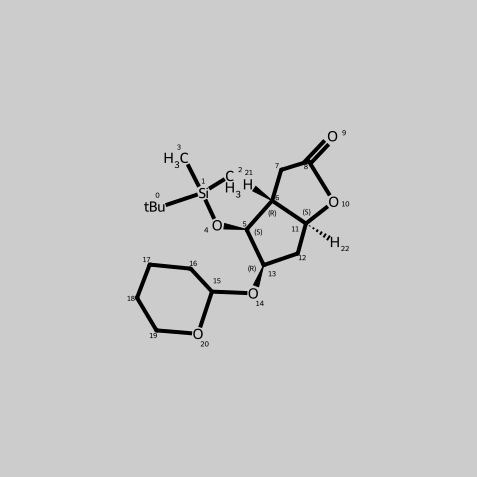 CC(C)(C)[Si](C)(C)O[C@H]1[C@@H]2CC(=O)O[C@H]2C[C@H]1OC1CCCCO1